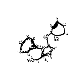 OCc1nnc(SC2C=CCCC2)n1-c1cccnc1